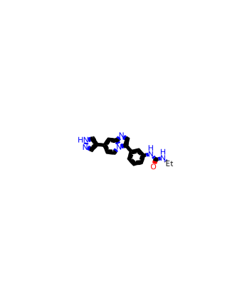 CCNC(=O)Nc1cccc(-c2cnc3cc(-c4cn[nH]c4)ccn23)c1